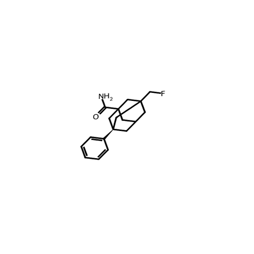 NC(=O)C12CC3CC(CF)(C1)C[C@](c1ccccc1)(C3)C2